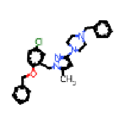 Cc1cc(N2CCN(Cc3ccccc3)CC2)nn1Cc1cc(Cl)ccc1OCc1ccccc1